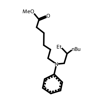 CCCCC(CC)CN(CCCCCC(=O)OC)c1ccccc1